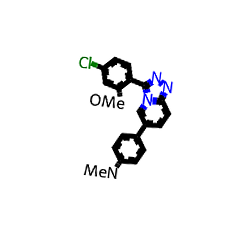 CNc1ccc(-c2ccc3nnc(-c4ccc(Cl)cc4OC)n3c2)cc1